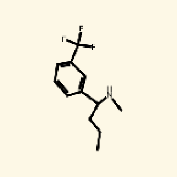 CCCC(NC)c1cccc(C(F)(F)F)c1